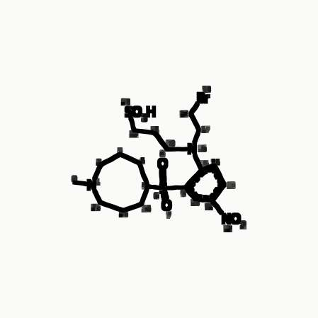 CN1CCCC(S(=O)(=O)c2cc([N+](=O)[O-])ccc2N(CCBr)CCCS(=O)(=O)O)CCC1